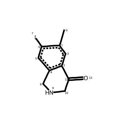 Cc1cc2c(cc1I)CNCC2=O